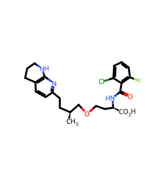 C[C@@H](CCc1ccc2c(n1)NCCC2)COCC[C@@H](NC(=O)c1c(F)cccc1Cl)C(=O)O